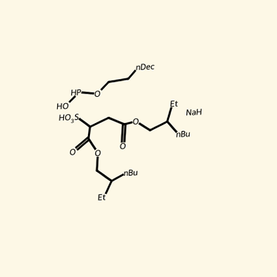 CCCCC(CC)COC(=O)CC(C(=O)OCC(CC)CCCC)S(=O)(=O)O.CCCCCCCCCCCCOPO.[NaH]